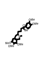 CCC(C)C(C#N)(CCCC1Cc2cc(OC)c(OC)c(OC)c2CN1C)c1ccc(OC)c(OC)c1